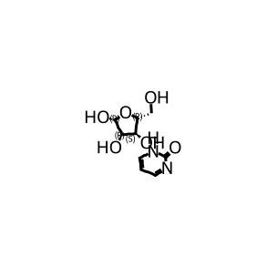 O=c1nccc[nH]1.OC[C@H]1O[C@@H](O)[C@H](O)[C@@H]1O